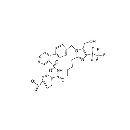 CCCCc1nc(C(F)(F)C(F)(F)F)c(CO)n1Cc1ccc(-c2ccccc2S(=O)(=O)NC(=O)c2ccc([N+](=O)[O-])cc2)cc1